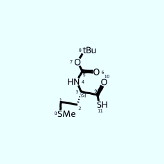 CSCC[C@H](NC(=O)OC(C)(C)C)C(=O)S